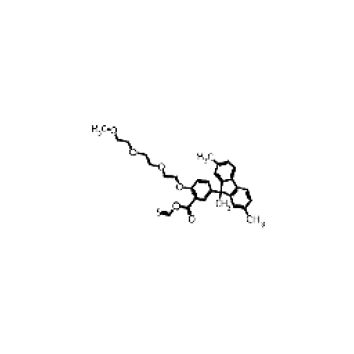 COCCOCCOCCOc1ccc(C2(C)c3cc(C)ccc3-c3ccc(C)cc32)cc1C(=O)OC=S